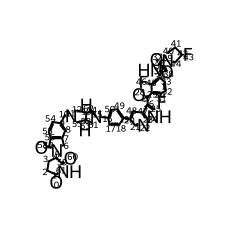 O=C1CC[C@@H](N2Cc3cc(CN4C[C@@H]5CN(c6ccc(-c7cnc8[nH]cc(C(=O)c9c(F)ccc(NS(=O)(=O)N%10CC[C@@H](F)C%10)c9F)c8c7)cc6)C[C@@H]5C4)ccc3C2=O)C(=O)N1